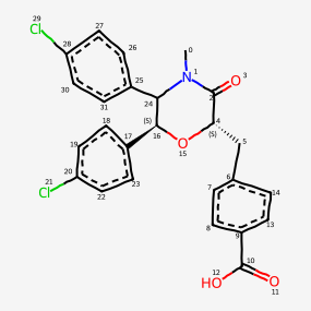 CN1C(=O)[C@H](Cc2ccc(C(=O)O)cc2)O[C@@H](c2ccc(Cl)cc2)C1c1ccc(Cl)cc1